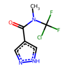 CN(C(=O)c1cn[nH]c1)C(F)(F)Cl